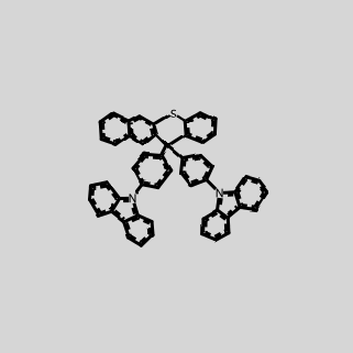 c1ccc2c(c1)Sc1cc3ccccc3cc1C2(c1ccc(-n2c3ccccc3c3ccccc32)cc1)c1ccc(-n2c3ccccc3c3ccccc32)cc1